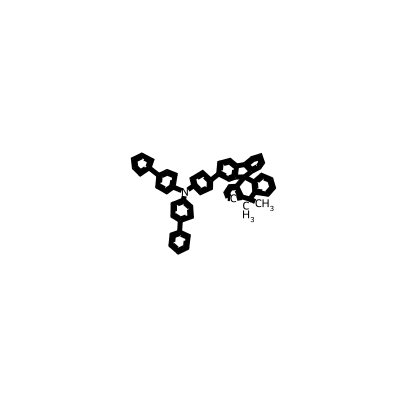 CC1(C)c2ccccc2C2(c3ccccc3-c3ccc(-c4ccc(N(c5ccc(-c6ccccc6)cc5)c5ccc(-c6ccccc6)cc5)cc4)cc32)c2ccccc21